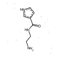 NCCNC(=O)c1cc[nH]c1